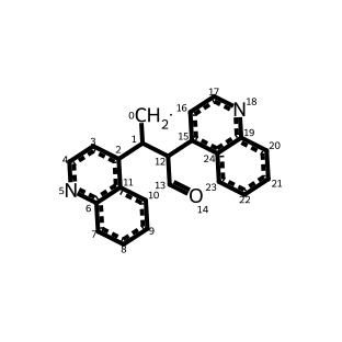 [CH2]C(c1ccnc2ccccc12)C(C=O)c1ccnc2ccccc12